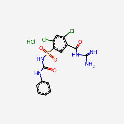 Cl.N=C(N)NC(=O)c1cc(S(=O)(=O)NC(=O)Nc2ccccc2)c(Cl)cc1Cl